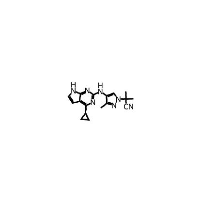 Cc1nn(C(C)(C)C#N)cc1Nc1nc(C2CC2)c2cc[nH]c2n1